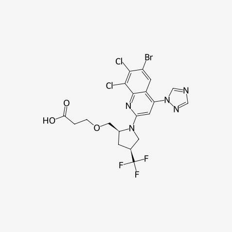 O=C(O)CCOC[C@@H]1C[C@H](C(F)(F)F)CN1c1cc(-n2cncn2)c2cc(Br)c(Cl)c(Cl)c2n1